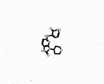 O=c1[nH]cccc1Nc1ccc2[nH]c(=O)n(C3CCOCC3)c2n1